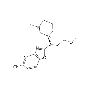 COCCN(c1nc2nc(Cl)ccc2o1)[C@@H]1CCCN(C)C1